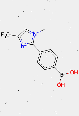 Cn1cc(C(F)(F)F)nc1-c1ccc(B(O)O)cc1